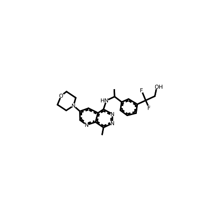 Cc1nnc(NC(C)c2cccc(C(F)(F)CO)c2)c2cc(N3CCOCC3)cnc12